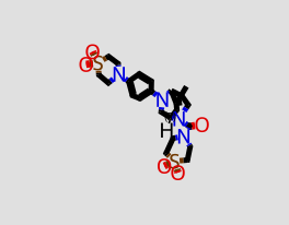 CC1(C)C[C@@H]2CN(c3ccc(N4CCS(=O)(=O)CC4)cc3)C1CCN2C(=O)N1CCS(=O)(=O)CC1